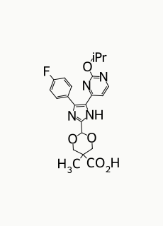 CC(C)Oc1nccc(-c2[nH]c(C3OCC(C)(C(=O)O)CO3)nc2-c2ccc(F)cc2)n1